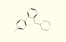 N#C[C@H](c1ccccc1-c1ccc(Cl)cc1)C1CCNCC1